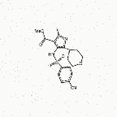 COC(=O)c1c(NS(=O)(=O)c2ccc(C#N)cc2)c(C2CCOCC2)nn1C